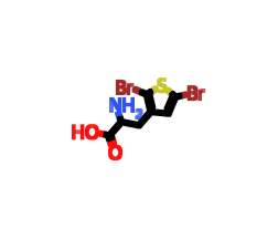 NC(Cc1cc(Br)sc1Br)C(=O)O